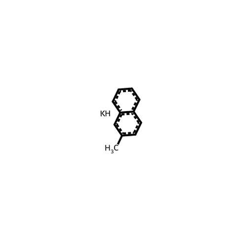 Cc1ccc2ccccc2c1.[KH]